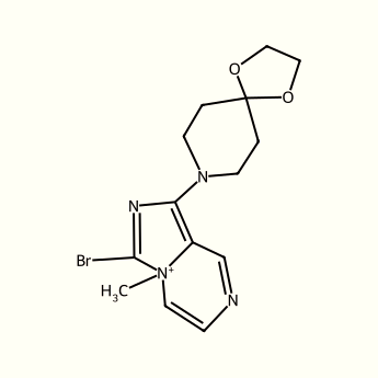 C[N+]12C=CN=CC1=C(N1CCC3(CC1)OCCO3)N=C2Br